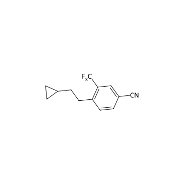 N#Cc1ccc(CCC2CC2)c(C(F)(F)F)c1